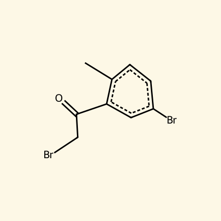 Cc1ccc(Br)cc1C(=O)CBr